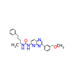 COCc1cccc(-c2cnc3ccc(NC(=O)N[C@H](C)CCCc4ccccc4)nc3n2)c1